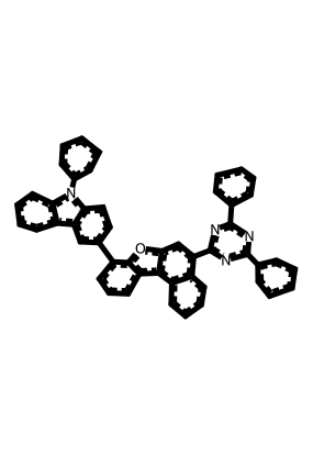 c1ccc(-c2nc(-c3ccccc3)nc(-c3cc4oc5c(-c6ccc7c(c6)c6ccccc6n7-c6ccccc6)cccc5c4c4ccccc34)n2)cc1